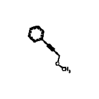 COCC#Cc1ccccc1